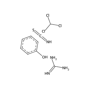 ClC(Cl)Cl.N=C(N)N.N=C=S.Oc1ccccc1